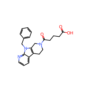 O=C(O)CCCC(=O)N1CCc2c(n(Cc3ccccc3)c3ncccc23)C1